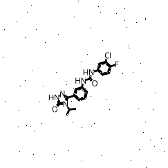 CC(C)n1c(-c2cccc(NC(=O)Nc3ccc(F)c(Cl)c3)c2)n[nH]c1=O